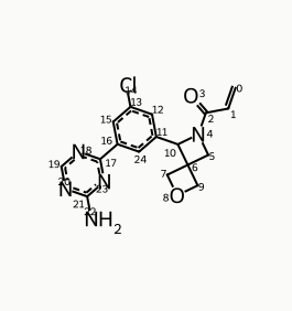 C=CC(=O)N1CC2(COC2)C1c1cc(Cl)cc(-c2ncnc(N)n2)c1